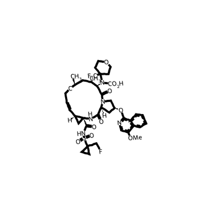 COc1cnc(O[C@@H]2C[C@H]3C(=O)N[C@]4(C(=O)NS(=O)(=O)C5(CF)CC5)C[C@H]4/C=C\CC[C@@H](C)C[C@@H](C)[C@H](N(C(=O)O)C4(C(F)(F)F)CCOCC4)C(=O)N3C2)c2ccccc12